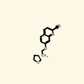 C1CCOC1.CCOc1ccc2ccc(C#N)nc2c1